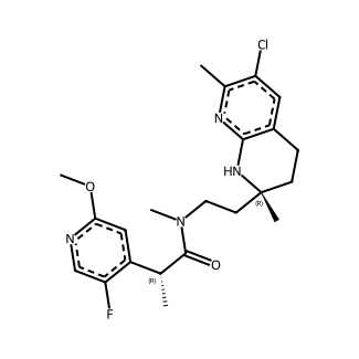 COc1cc([C@@H](C)C(=O)N(C)CC[C@@]2(C)CCc3cc(Cl)c(C)nc3N2)c(F)cn1